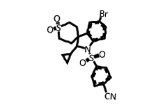 N#Cc1ccc(S(=O)(=O)N2c3ccc(Br)cc3C3(CCS(=O)(=O)CC3)C2C2CC2)cc1